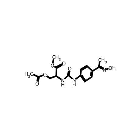 COC(=O)C(COC(C)=O)NC(=O)Nc1ccc(/C(C)=N/O)cc1